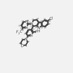 Fc1nc(N2CCOCC2)ccc1C1c2[nH]c3ccc(Cl)cc3c2CCN1c1nccc(C(F)(F)F)n1